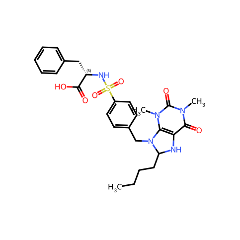 CCCCC1Nc2c(n(C)c(=O)n(C)c2=O)N1Cc1ccc(S(=O)(=O)N[C@@H](Cc2ccccc2)C(=O)O)cc1